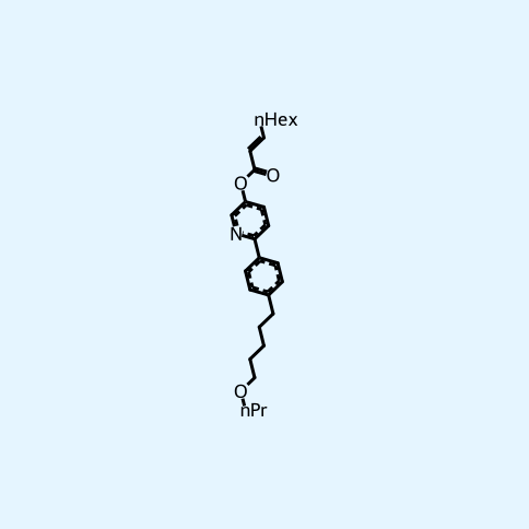 CCCCCCC=CC(=O)Oc1ccc(-c2ccc(CCCCCOCCC)cc2)nc1